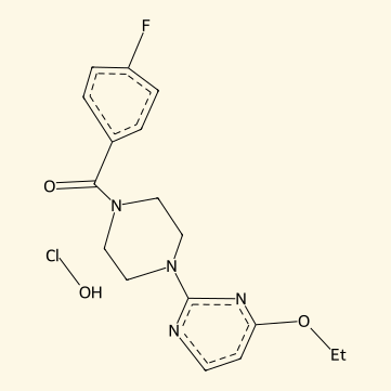 CCOc1ccnc(N2CCN(C(=O)c3ccc(F)cc3)CC2)n1.OCl